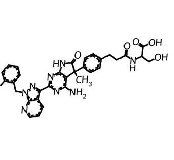 CC1(c2ccc(CCC(=O)NC(CO)C(=O)O)cc2)C(=O)Nc2nc(-c3nn(Cc4ccccc4F)c4ncccc34)nc(N)c21